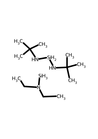 CC(C)(C)N[SiH2]NC(C)(C)C.CCN([SiH3])CC